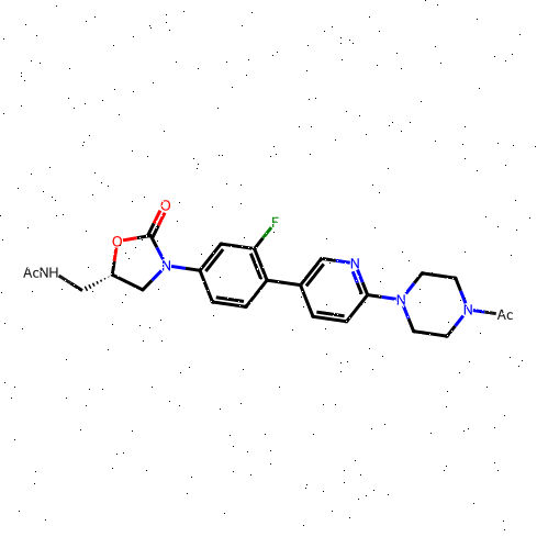 CC(=O)NC[C@H]1CN(c2ccc(-c3ccc(N4CCN(C(C)=O)CC4)nc3)c(F)c2)C(=O)O1